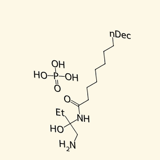 CCCCCCCCCCCCCCCCCC(=O)NC(O)(CC)CN.O=P(O)(O)O